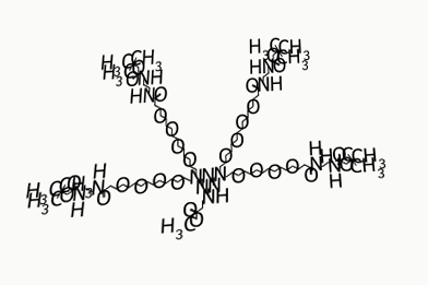 COC(=O)CCNc1nc(N(CCOCCOCCOCCOCCC(=O)NCCNC(=O)OC(C)(C)C)CCOCCOCCOCCOCCC(=O)NCCNC(=O)OC(C)(C)C)nc(N(CCOCCOCCOCCOCCC(=O)NCCNC(=O)OC(C)(C)C)CCOCCOCCOCCOCCC(=O)NCCNC(=O)OC(C)(C)C)n1